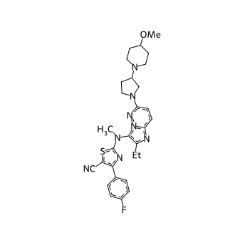 CCc1nc2ccc(N3CCC(N4CCC(OC)CC4)C3)nn2c1N(C)c1nc(-c2ccc(F)cc2)c(C#N)s1